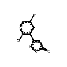 O=c1oc(-c2cc(Br)cnc2Cl)ns1